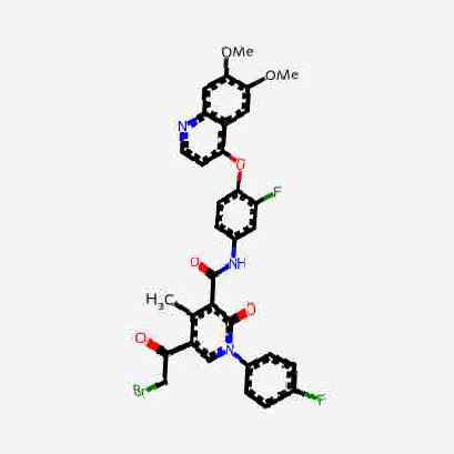 COc1cc2nccc(Oc3ccc(NC(=O)c4c(C)c(C(=O)CBr)cn(-c5ccc(F)cc5)c4=O)cc3F)c2cc1OC